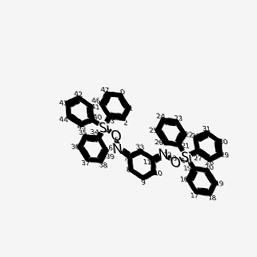 c1ccc([Si](O/N=C2/CCC/C(=N\O[Si](c3ccccc3)(c3ccccc3)c3ccccc3)C2)(c2ccccc2)c2ccccc2)cc1